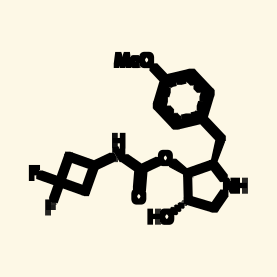 COc1ccc(C[C@H]2NC[C@H](O)[C@H]2OC(=O)NC2CC(F)(F)C2)cc1